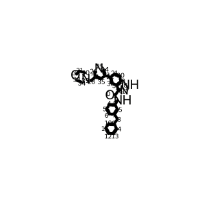 O=C(Nc1cccc(Cc2ccccc2)c1)c1n[nH]c2ccc(-c3cncc(CN4CCOCC4)c3)cc12